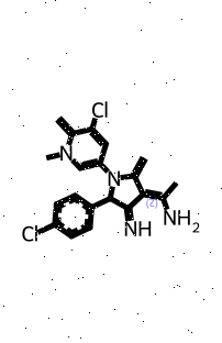 C=C1C(Cl)=CC(N2C(=C)/C(=C(\C)N)C(=N)C2c2ccc(Cl)cc2)=CN1C